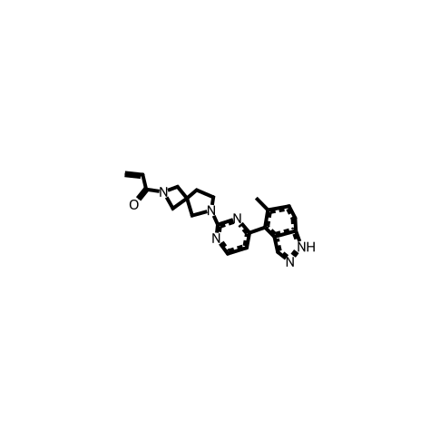 C=CC(=O)N1CC2(CCN(c3nccc(-c4c(C)ccc5[nH]ncc45)n3)C2)C1